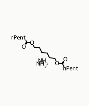 CCCCCC(=O)OCCCCCCOC(=O)CCCCC.N.N